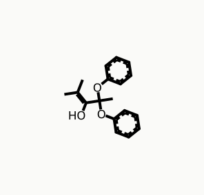 CC(C)=C(O)C(C)(Oc1ccccc1)Oc1ccccc1